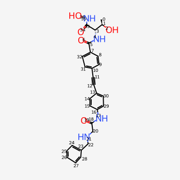 C[C@@H](O)[C@H](NC(=O)c1ccc(C#Cc2ccc(NC(=O)CNCc3ccccc3)cc2)cc1)C(=O)NO